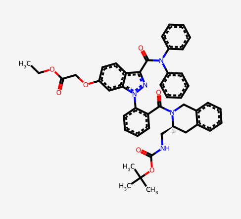 CCOC(=O)COc1ccc2c(C(=O)N(c3ccccc3)c3ccccc3)nn(-c3ccccc3C(=O)N3Cc4ccccc4C[C@H]3CNC(=O)OC(C)(C)C)c2c1